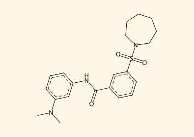 CN(C)c1cccc(NC(=O)c2cccc(S(=O)(=O)N3CCCCCC3)c2)c1